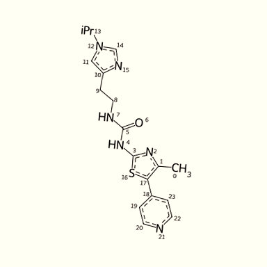 Cc1nc(NC(=O)NCCc2cn(C(C)C)cn2)sc1-c1ccncc1